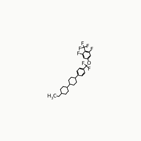 CCC1CCC(C2CCC(c3ccc(C(F)(F)Oc4cc(F)c(C(F)(F)F)c(F)c4)cc3)CC2)CC1